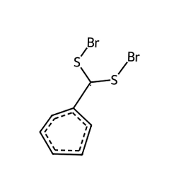 BrS[C](SBr)c1ccccc1